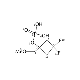 COCC1(OP(=O)(O)O)CC(F)(F)C1